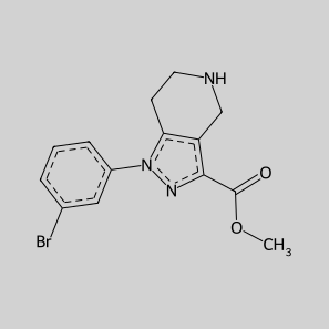 COC(=O)c1nn(-c2cccc(Br)c2)c2c1CNCC2